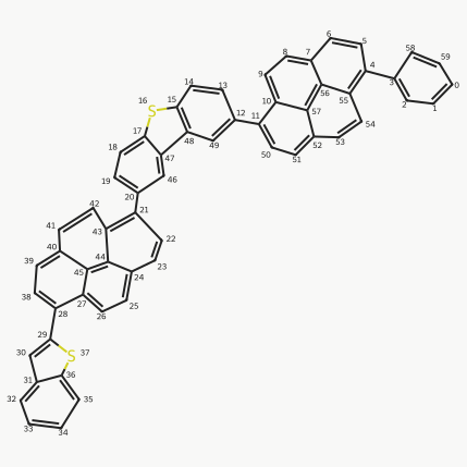 c1ccc(-c2ccc3ccc4c(-c5ccc6sc7ccc(-c8ccc9ccc%10c(-c%11cc%12ccccc%12s%11)ccc%11ccc8c9c%11%10)cc7c6c5)ccc5ccc2c3c54)cc1